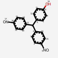 O=Nc1ccc(C(c2ccc(O)cc2)c2ccc(N=O)cc2)cc1